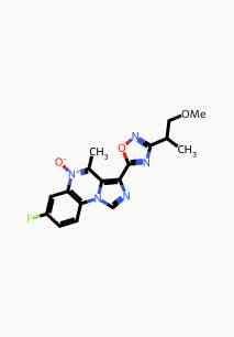 COCC(C)c1noc(-c2ncn3c2c(C)[n+]([O-])c2cc(F)ccc23)n1